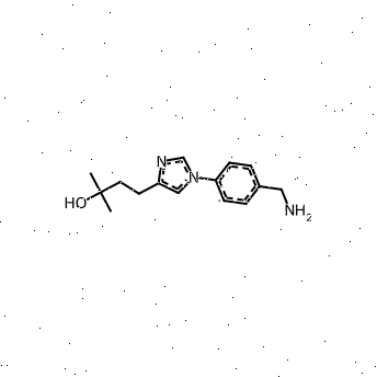 CC(C)(O)CCc1cn(-c2[c]cc(CN)cc2)cn1